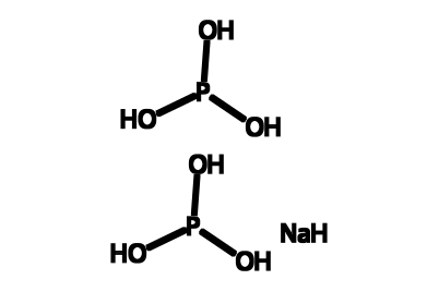 OP(O)O.OP(O)O.[NaH]